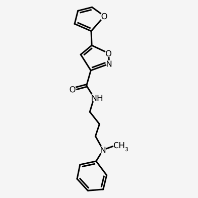 CN(CCCNC(=O)c1cc(-c2ccco2)on1)c1ccccc1